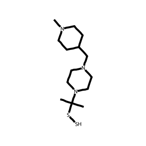 CN1CCC(CN2CCN(C(C)(C)SS)CC2)CC1